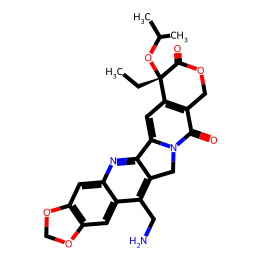 CC[C@@]1(OC(C)C)C(=O)OCc2c1cc1n(c2=O)Cc2c-1nc1cc3c(cc1c2CN)OCO3